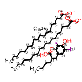 CCCCC(Cc1cc(I)c(O)c(I)c1)C(=O)O.CCCCCCCCCCCCCCCCCC(=O)[O-].CCCCCCCCCCCCCCCCCC(=O)[O-].[Ca+2]